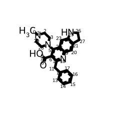 CN1CCN(c2c(C(=O)O)c(Cc3ccccc3)nc3cc4c(cc23)NCC4)CC1